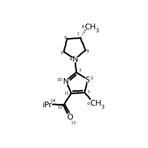 Cc1sc(N2CC[C@H](C)C2)nc1C(=O)C(C)C